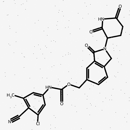 Cc1cc(NC(=O)OCc2ccc3c(c2)C(=O)N(C2CCC(=O)NC2=O)C3)cc(Cl)c1C#N